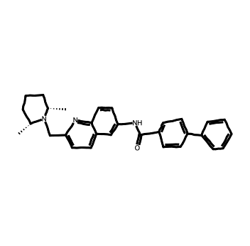 C[C@@H]1CCC[C@H](C)N1Cc1ccc2cc(NC(=O)c3ccc(-c4ccccc4)cc3)ccc2n1